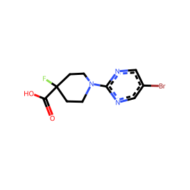 O=C(O)C1(F)CCN(c2ncc(Br)cn2)CC1